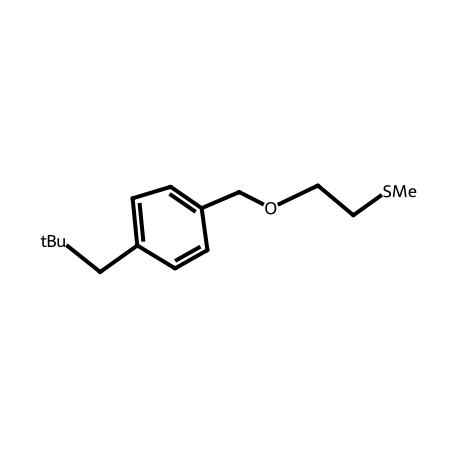 CSCCOCc1ccc(CC(C)(C)C)cc1